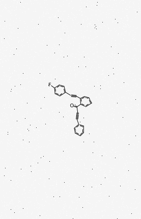 O=C(C#Cc1ccccc1)c1ccccc1C#Cc1ccc(F)cc1